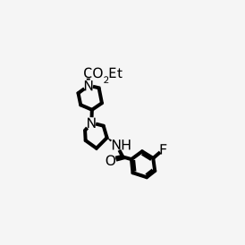 CCOC(=O)N1CCC(N2CCC[C@@H](NC(=O)c3cccc(F)c3)C2)CC1